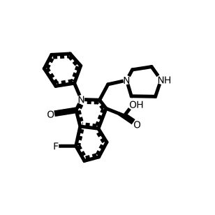 O=C(O)c1c(CN2CCNCC2)n(-c2ccccc2)c(=O)c2c(F)cccc12